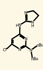 CCCCN(CCCC)c1nc(Cl)cc(NC2=NCCN2)n1